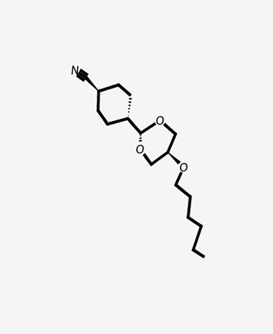 CCCCCCO[C@H]1CO[C@H]([C@H]2CC[C@H](C#N)CC2)OC1